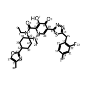 CCN1C(=O)c2c(O)c(=O)c(-c3nnc(Cc4ccc(F)cc4F)s3)cn2N(C)C12CCC(c1nc(C)co1)CC2